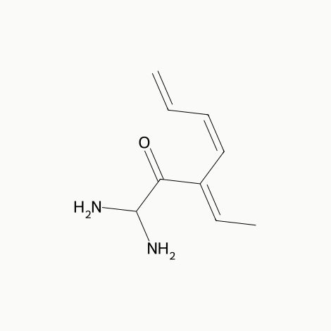 C=C/C=C\C(=C/C)C(=O)C(N)N